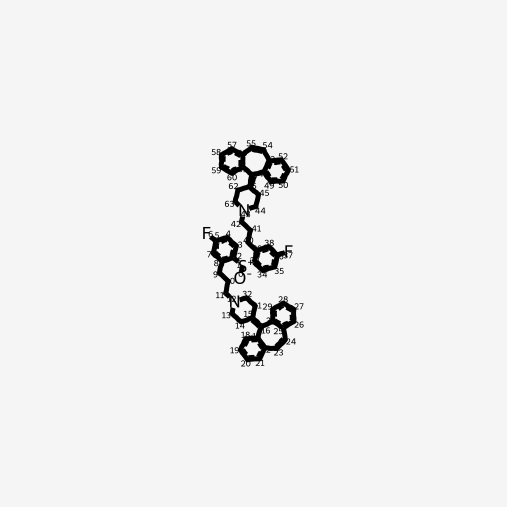 [O-][S+](c1ccc(F)cc1CCCN1CCC(=C2c3ccccc3C=Cc3ccccc32)CC1)c1ccc(F)cc1CCCN1CCC(=C2c3ccccc3C=Cc3ccccc32)CC1